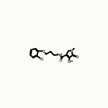 CN1CC(C(=O)NCCCOc2ccccc2Cl)=C(O)C1=O